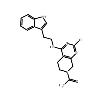 CC(=O)N1CCc2c(nc(Cl)nc2NCCc2c[nH]c3ccccc23)C1